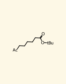 CC(=O)CCCCCC(=O)OC(C)(C)C